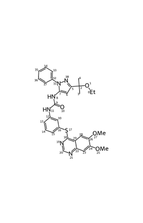 CCOC(C)(C)c1cc(NC(=O)Nc2cccc(Sc3ncnc4cc(OC)c(OC)cc34)c2)n(-c2ccccc2)n1